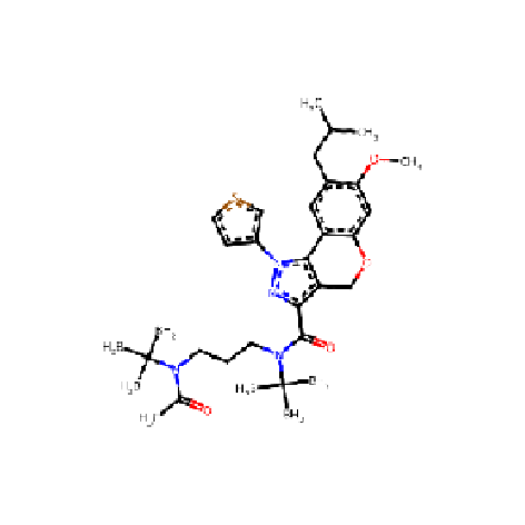 BC(B)(B)N(CCCN(C(=O)c1nn(-c2ccsc2)c2c1COc1cc(OC)c(CC(C)C)cc1-2)C(B)(B)B)C(C)=O